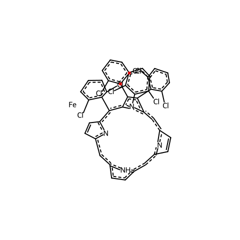 Clc1cccc(Cl)c1-c1c(-c2c(Cl)cccc2Cl)c2c(-c3c(Cl)cccc3Cl)c3nc(cc4ccc(cc5nc(cc1n2-c1c(Cl)cccc1Cl)C=C5)[nH]4)C=C3.[Fe]